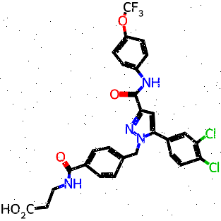 O=C(O)CCNC(=O)c1ccc(Cn2nc(C(=O)Nc3ccc(OC(F)(F)F)cc3)cc2-c2ccc(Cl)c(Cl)c2)cc1